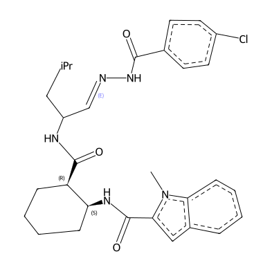 CC(C)CC(/C=N/NC(=O)c1ccc(Cl)cc1)NC(=O)[C@@H]1CCCC[C@@H]1NC(=O)c1cc2ccccc2n1C